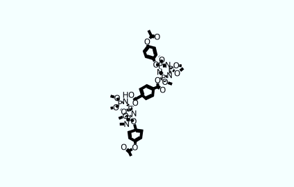 CN=P(N=P(NP(OC)OC)(OC)OC(=O)c1ccc(C(=O)OP2(OC)=NP(OC)(Oc3ccc(OC(C)=O)cc3)=NP(OC)(OC)=N2)cc1)(OC)Oc1ccc(OC(C)=O)cc1